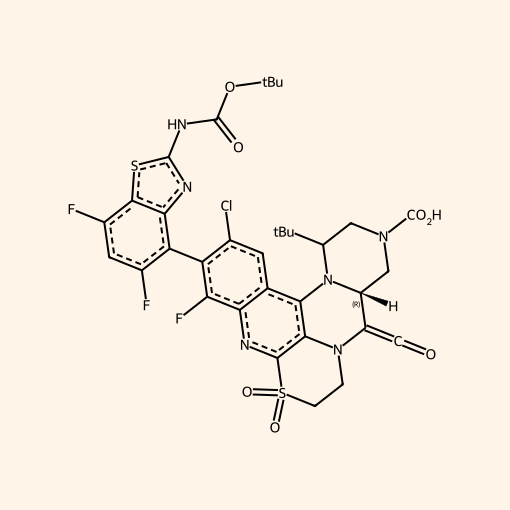 CC(C)(C)OC(=O)Nc1nc2c(-c3c(Cl)cc4c5c6c(nc4c3F)S(=O)(=O)CCN6C(=C=O)[C@H]3CN(C(=O)O)CC(C(C)(C)C)N53)c(F)cc(F)c2s1